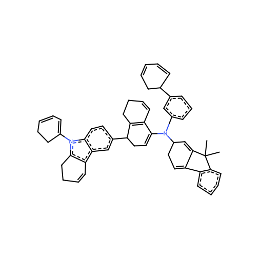 CC1(C)C2=CC(N(C3=CCC(c4ccc5c(c4)c4c(n5C5=CC=CCC5)CCC=C4)C4=C3C=CCC4)c3cccc(C4C=CC=CC4)c3)CC=C2c2ccccc21